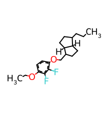 CCCC1CC[C@H]2C(COc3ccc(OCC)c(F)c3F)CC[C@@H]12